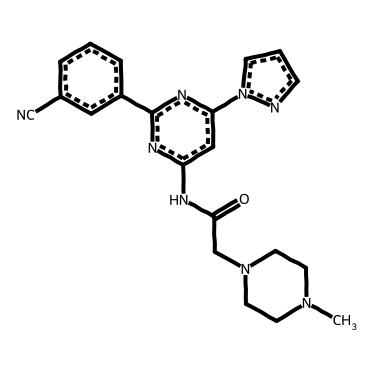 CN1CCN(CC(=O)Nc2cc(-n3cccn3)nc(-c3cccc(C#N)c3)n2)CC1